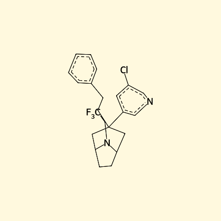 FC(F)(F)CN1C2CCC1CC(CCc1ccccc1)(c1cncc(Cl)c1)C2